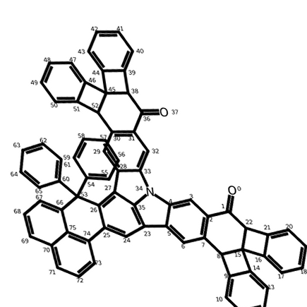 O=C1c2cc3c(cc2C2c4ccccc4C24c2ccccc2C14)c1cc2c(c4c5cc6c(cc5n3c14)C(=O)C1c3ccccc3C13c1ccccc1C63)C(c1ccccc1)(c1ccccc1)c1cccc3cccc-2c13